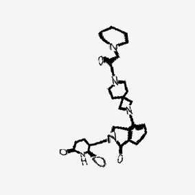 O=C1CCC(N2Cc3c(cccc3N3CC4(CCN(C(=O)CN5CCCCC5)CC4)C3)C2=O)C(=O)N1